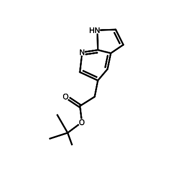 CC(C)(C)OC(=O)Cc1cnc2[nH]ccc2c1